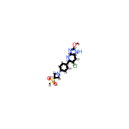 COc1nc2nc(-c3ccc(N4CC(S(C)(=O)=O)C4)cc3)c(Cl)cc2[nH]1